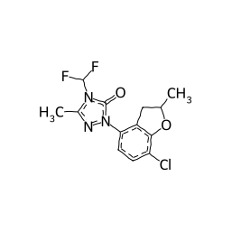 Cc1nn(-c2ccc(Cl)c3c2CC(C)O3)c(=O)n1C(F)F